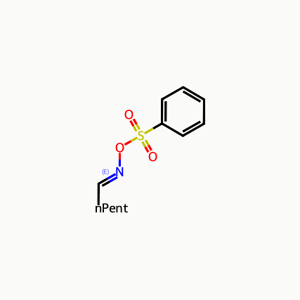 CCCCC/C=N/OS(=O)(=O)c1ccccc1